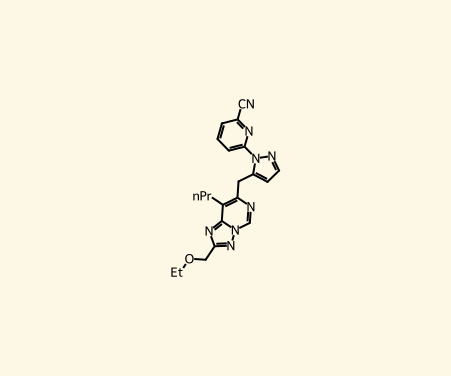 CCCc1c(Cc2ccnn2-c2cccc(C#N)n2)ncn2nc(COCC)nc12